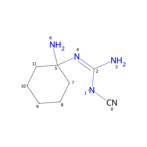 N#C[N]C(N)=NC1(N)CCCCC1